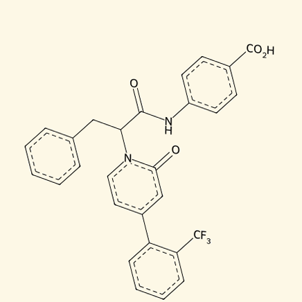 O=C(O)c1ccc(NC(=O)C(Cc2ccccc2)n2ccc(-c3ccccc3C(F)(F)F)cc2=O)cc1